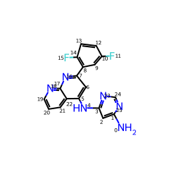 Nc1cc(Nc2cc(-c3cc(F)ccc3F)nc3ncccc23)ncn1